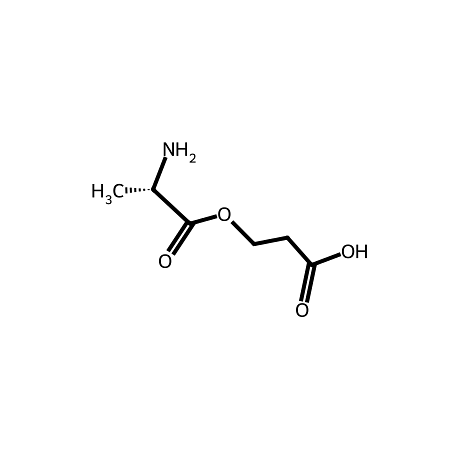 C[C@H](N)C(=O)OCCC(=O)O